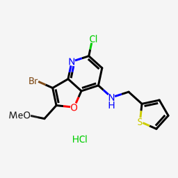 COCc1oc2c(NCc3cccs3)cc(Cl)nc2c1Br.Cl